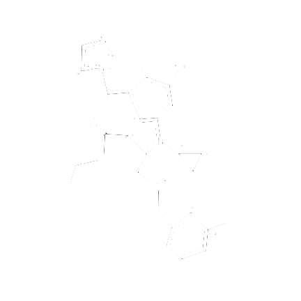 CCOC(=O)c1c(CSCc2cccc(Cl)c2)n(C2CC2)c2cc(Br)c(O)c(Cn3ccnc3)c12